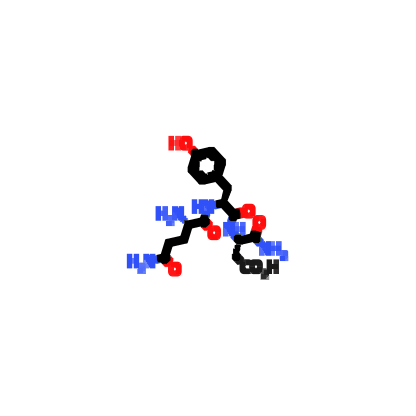 NC(=O)CC[C@H](N)C(=O)N[C@@H](Cc1ccc(O)cc1)C(=O)N[C@@H](CC(=O)O)C(N)=O